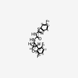 O=C(Nc1nc2ccc(F)cc2s1)N[C@@H]1[C@H]2COc3c(F)ccc(F)c3[C@@H]21